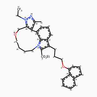 CCOC(=O)c1c(CCCOc2cccc3ccccc23)c2cccc3c2n1CCCCOCc1c-3c(C)nn1CC(F)(F)F